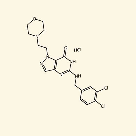 Cl.O=c1[nH]c(NCc2ccc(Cl)c(Cl)c2)nc2cnn(CCN3CCOCC3)c12